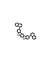 c1ccc2c(-c3ccc4oc5cc6oc7ccc(-c8cccc9ccccc89)cc7c6cc5c4c3)cccc2c1